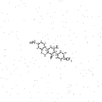 CCCc1ccc2c(c1)CCc1c-2cc(F)c(-c2ccc(C(F)(F)F)cc2)c1F